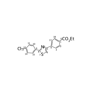 CCOC(=O)c1ccc(-c2csc(-c3ccc(Cl)cc3)n2)cc1